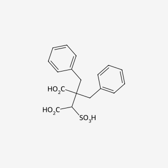 O=C(O)C(C(Cc1ccccc1)(Cc1ccccc1)C(=O)O)S(=O)(=O)O